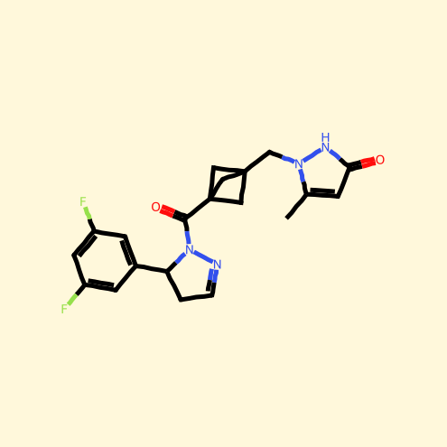 Cc1cc(=O)[nH]n1CC12CC(C(=O)N3N=CCC3c3cc(F)cc(F)c3)(C1)C2